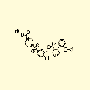 CC(C)(C)OC(=O)N1CCCN(S(=O)(=O)c2ccc(Cl)c(COC3(c4cnccc4-c4ccccc4OC4CC4)CC3)c2)CC1